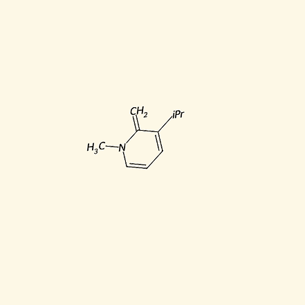 C=C1C(C(C)C)=CC=CN1C